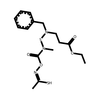 CCOC(=O)CCN(Cc1ccccc1)SN(C)C(=O)ON=C(C)S